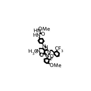 CONC(=O)Nc1ccc(-n2nc3c(c2CN(C)C)c(=O)n(-c2cccc(OC)c2F)c(=O)n3Cc2ccccc2C(F)(F)F)cc1